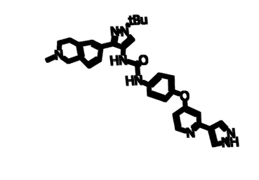 CN1CCc2cc(-c3nn(C(C)(C)C)cc3NC(=O)Nc3ccc(Oc4ccnc(-c5cn[nH]c5)c4)cc3)ccc2C1